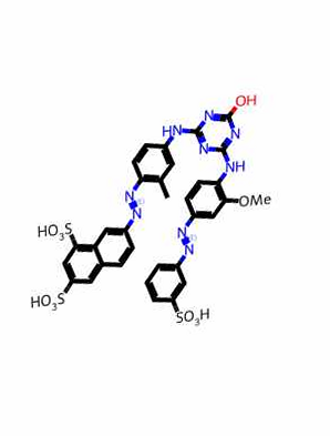 COc1cc(/N=N/c2cccc(S(=O)(=O)O)c2)ccc1Nc1nc(O)nc(Nc2ccc(/N=N/c3ccc4cc(S(=O)(=O)O)cc(S(=O)(=O)O)c4c3)c(C)c2)n1